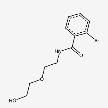 O=C(NCCOCCO)c1ccccc1Br